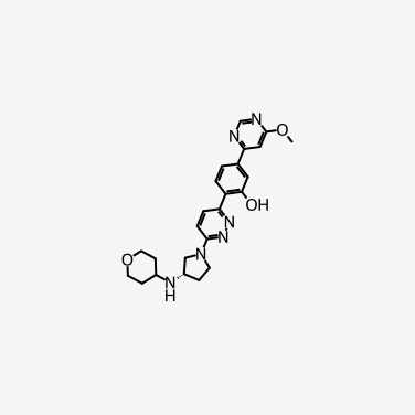 COc1cc(-c2ccc(-c3ccc(N4CC[C@H](NC5CCOCC5)C4)nn3)c(O)c2)ncn1